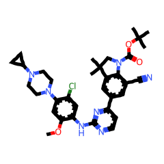 COc1cc(N2CCN(C3CC3)CC2)c(Cl)cc1Nc1nccc(-c2cc(C#N)c3c(c2)C(C)(C)CN3C(=O)OC(C)(C)C)n1